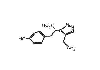 NCc1cnnn1[C@H](Cc1ccc(O)cc1)C(=O)O